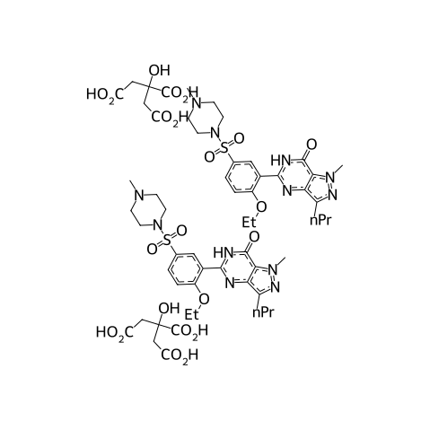 CCCc1nn(C)c2c(=O)[nH]c(-c3cc(S(=O)(=O)N4CCN(C)CC4)ccc3OCC)nc12.CCCc1nn(C)c2c(=O)[nH]c(-c3cc(S(=O)(=O)N4CCN(C)CC4)ccc3OCC)nc12.O=C(O)CC(O)(CC(=O)O)C(=O)O.O=C(O)CC(O)(CC(=O)O)C(=O)O